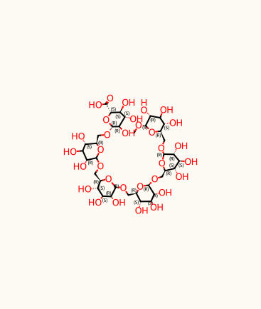 CO[C@H]1O[C@H](CO[C@@H]2O[C@H](CO[C@@H]3O[C@H](CO[C@@H]4O[C@H](COC5O[C@H](CO[C@@H]6O[C@H](C(=O)O)[C@@H](O)[C@H](O)[C@H]6O)[C@@H](O)C(O)[C@H]5O)[C@@H](O)[C@H](O)[C@H]4O)[C@@H](O)[C@H](O)[C@H]3O)[C@@H](O)[C@H](O)[C@H]2O)[C@@H](O)C(O)[C@H]1O